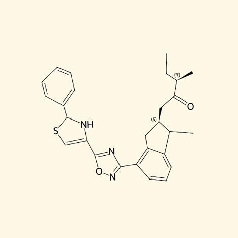 CC[C@@H](C)C(=O)C[C@@H]1Cc2c(-c3noc(C4=CSC(c5ccccc5)N4)n3)cccc2C1C